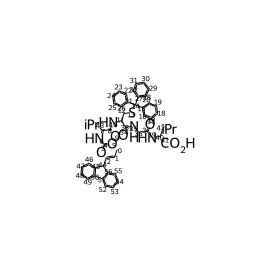 CC=C(OC(=O)NC(C(=O)NC(CSC(c1ccccc1)(c1ccccc1)c1ccccc1)C(=O)NCC(=O)NC(C(=O)O)C(C)C)C(C)C)C1c2ccccc2-c2ccccc21